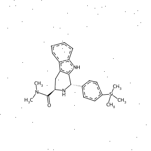 CN(C)C(=O)[C@H]1Cc2c([nH]c3ccccc23)[C@H](c2ccc([Si](C)(C)C)cc2)N1